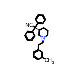 Cc1cccc(CCN2CCC[C@H](C(C#N)(c3ccccc3)c3ccccc3)C2)c1